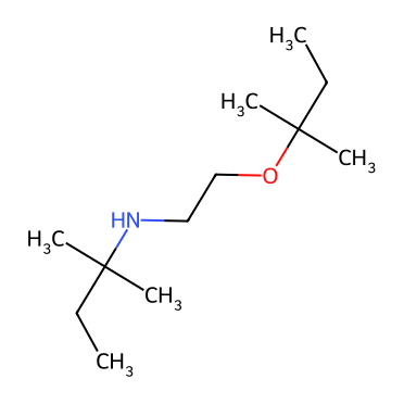 CCC(C)(C)NCCOC(C)(C)CC